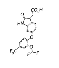 O=C(O)CC1C(=O)Nc2cc(Oc3ccc(C(F)(F)F)cc3OC(F)F)ccc21